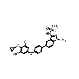 Cn1nc(NS(C)(=O)=O)c2cc(-c3ccc(Oc4cc(Cl)c(OC5CC5)c(C#N)c4)cc3)ccc21